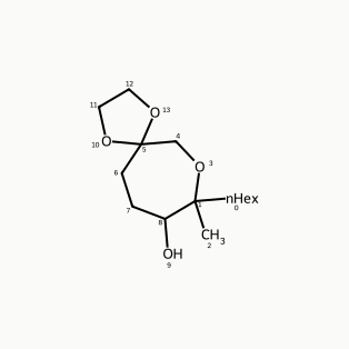 CCCCCCC1(C)OCC2(CCC1O)OCCO2